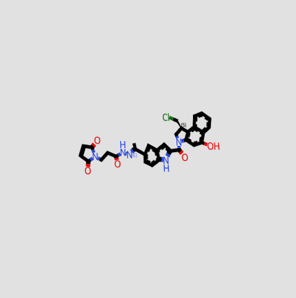 C/C(=N\NC(=O)CCN1C(=O)C=CC1=O)c1ccc2[nH]c(C(=O)N3C[C@@H](CCl)c4c3cc(O)c3ccccc43)cc2c1